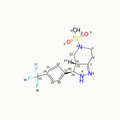 CS(=O)(=O)N1CCC2=NN[C@@H](c3ccc(C(F)(F)F)cc3)[C@@H]2C1